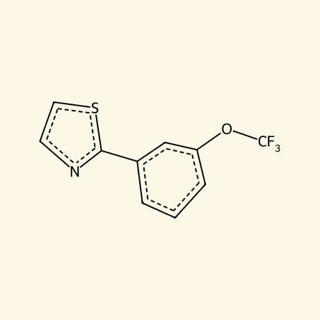 FC(F)(F)Oc1cccc(-c2nccs2)c1